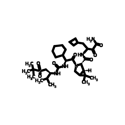 CC(C)[C@@H](CS(=O)(=O)C(C)(C)C)NC(=O)N[C@H](C(=O)N1CC2[C@@H]([C@H]1C(=O)NC(CC1CCC1)C(=O)C(N)=O)C2(C)C)C1CCCCC1